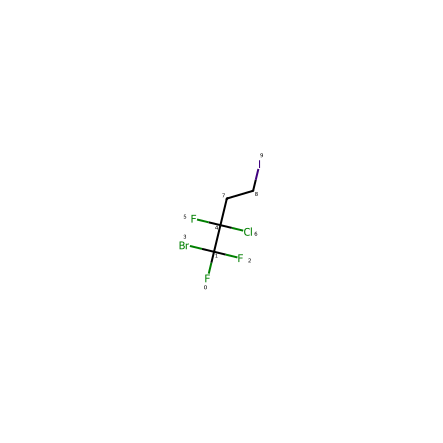 FC(F)(Br)C(F)(Cl)CCI